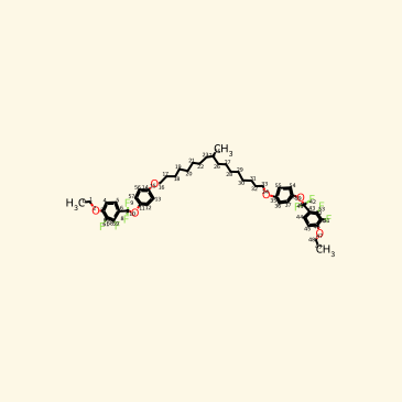 CCOc1ccc(C(F)(F)Oc2ccc(OCCCCCCCCC(C)CCCCCCCCOc3ccc(OC(F)(F)c4ccc(OCC)c(F)c4F)cc3)cc2)c(F)c1F